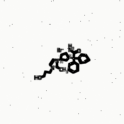 Cc1n([C@@H]2CC[C@H](C(C(N)=O)(c3ccccc3)c3ccccc3)C2)cc[n+]1CCCO.[Br-]